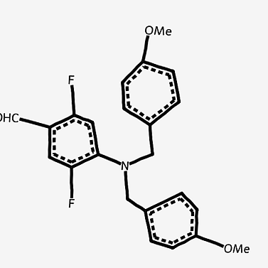 COc1ccc(CN(Cc2ccc(OC)cc2)c2cc(F)c(C=O)cc2F)cc1